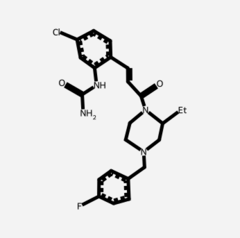 CCC1CN(Cc2ccc(F)cc2)CCN1C(=O)/C=C/c1ccc(Cl)cc1NC(N)=O